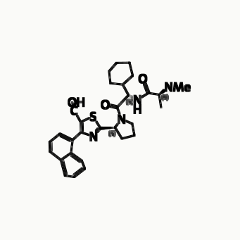 CN[C@@H](C)C(=O)N[C@H](C(=O)N1CCC[C@H]1c1nc(-c2cccc3ccccc23)c(CO)s1)C1CCCCC1